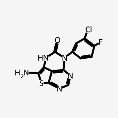 Nc1sc2ncnc3c2c1NC(=O)N3c1ccc(F)c(Cl)c1